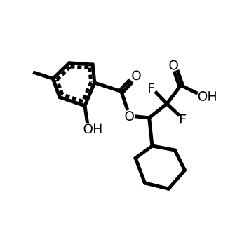 Cc1ccc(C(=O)OC(C2CCCCC2)C(F)(F)C(=O)O)c(O)c1